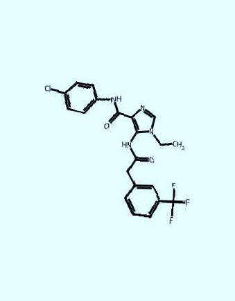 CCn1cnc(C(=O)Nc2ccc(Cl)cc2)c1NC(=O)Cc1cccc(C(F)(F)F)c1